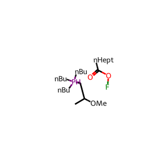 CCCCCCCC(=O)OF.CCCC[PH](CCCC)(CCCC)CC(C)OC